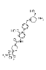 CC(C)(N)C(=O)N1CCN(C(=O)Nc2ccn(-c3ccc(CN4CC[C@H](N)[C@H](CO)C4)cc3)c(=O)n2)CC1.Cl